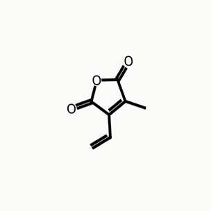 C=CC1=C(C)C(=O)OC1=O